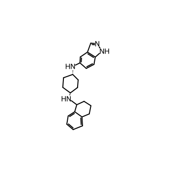 c1ccc2c(c1)CCCC2N[C@H]1CC[C@@H](Nc2ccc3[nH]ncc3c2)CC1